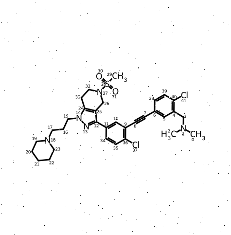 CN(C)Cc1cc(C#Cc2cc(-c3nn(CCCN4CCCCC4)c4c3CN(S(C)(=O)=O)CC4)ccc2Cl)ccc1Cl